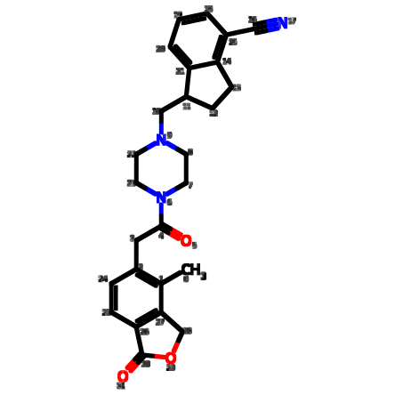 Cc1c(CC(=O)N2CCN(CC3CCc4c(C#N)cccc43)CC2)ccc2c1COC2=O